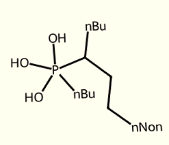 CCCCCCCCCCCC(CCCC)P(O)(O)(O)CCCC